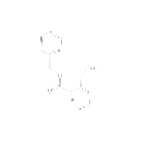 O=C(O)Cc1ccccc1C(=O)OCc1ccccc1